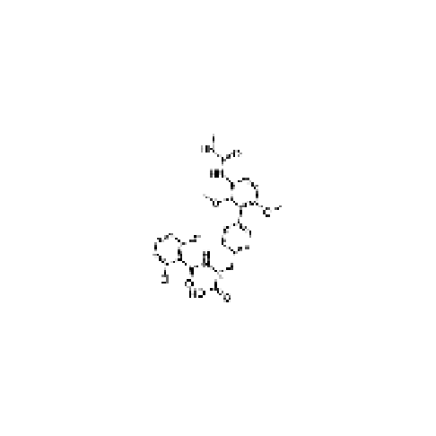 CNC(=O)Nc1ccc(OC)c(-c2ccc(C[C@H](NC(=O)c3c(Cl)cccc3Cl)C(=O)O)cc2)c1OC